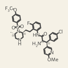 COc1ccc([C@H](c2ccc(Cl)cc2)[C@H](N)C(=O)Nc2cccc(F)c2CC[C@H]2CNC[C@H](C)N2S(=O)(=O)c2ccc(OC(F)(F)F)cc2)cn1